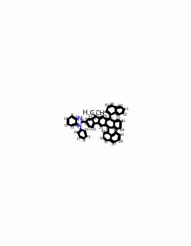 CC1(C)c2cc(-c3nc4ccccc4n3-c3ccccc3)ccc2-c2cc3c(-c4cccc5ccccc45)c4ccccc4c(-c4cccc5ccccc45)c3cc21